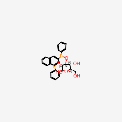 OC[C@H]1O[C@@H](O)[C@H](OP(c2ccccc2)c2ccccc2)[C@@H](OP(c2ccccc2)c2ccccc2)[C@@H]1O